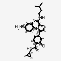 CC(C)CCNc1nc2cc(N)ccc2n2c(-c3ccc(C(=O)NC4CC4)c(Cl)c3)cnc12